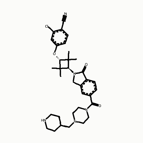 CC1(C)[C@H](Oc2ccc(C#N)c(Cl)c2)C(C)(C)[C@H]1N1Cc2cc(C(=O)N3CCN(CC4CCNCC4)CC3)ccc2C1=O